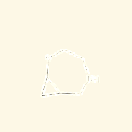 C1COC2CC2CN1